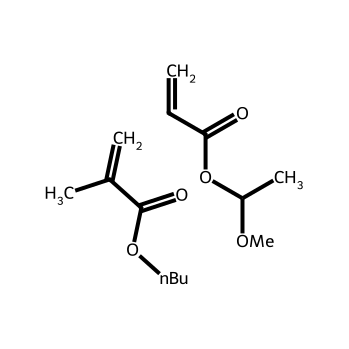 C=C(C)C(=O)OCCCC.C=CC(=O)OC(C)OC